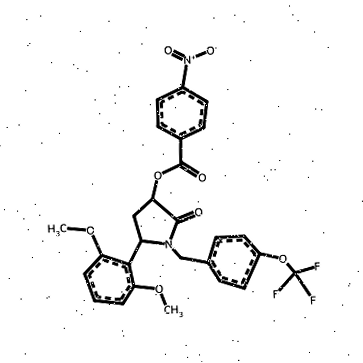 COc1cccc(OC)c1C1CC(OC(=O)c2ccc([N+](=O)[O-])cc2)C(=O)N1Cc1ccc(OC(F)(F)F)cc1